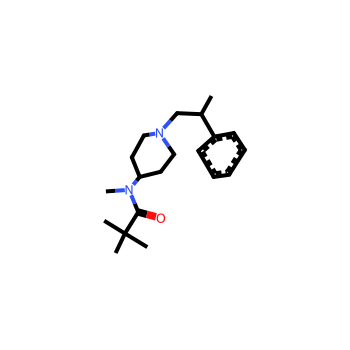 CC(CN1CCC(N(C)C(=O)C(C)(C)C)CC1)c1ccccc1